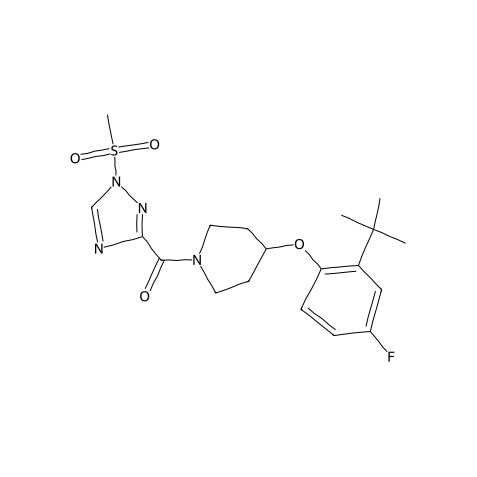 CC(C)(C)c1cc(F)ccc1OC1CCN(C(=O)c2ncn(S(C)(=O)=O)n2)CC1